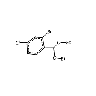 CCOC(OCC)c1ccc(Cl)cc1Br